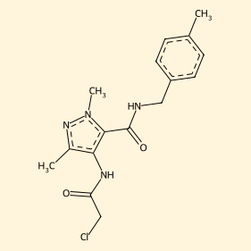 Cc1ccc(CNC(=O)c2c(NC(=O)CCl)c(C)nn2C)cc1